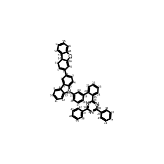 C1=C(c2ccc3c(c2)c2ccccc2n3-c2cccc(-c3ccccc3-c3nc(-c4ccccc4)nc(-c4ccccc4)n3)c2)C=C2Oc3ccccc3C2C1